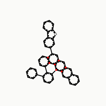 c1ccc(-c2ccccc2-c2c(-c3ccccc3)cccc2N(c2ccc(-c3ccc4c(c3)sc3ccccc34)cc2)c2ccc3ccccc3c2)cc1